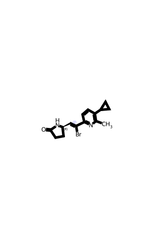 Cc1nc(/C(Br)=C/[C@H]2CCC(=O)N2)ccc1C1CC1